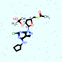 CC(=O)SC[C@@H]1C[C@@H](OC(C)(C)O)[C@H](n2ncc3c(NC4CCCC4)nc(Cl)nc32)O1